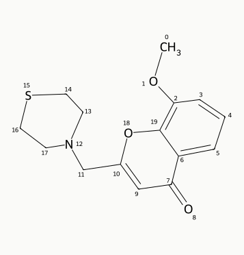 COc1cccc2c(=O)cc(CN3CCSCC3)oc12